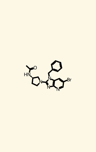 CC(=O)N[C@@H]1CCN(c2nc3ncc(Br)cc3n2Cc2ccccc2)C1